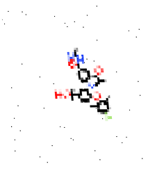 Cc1noc(-c2ccc3c(c2)c(=O)c(C)cn3-c2cc(C(C)(C)O)ccc2Oc2c(C)cc(F)cc2C)n1